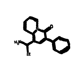 CCC(N)c1cc(-c2ccccc2)c(=O)n2ccccc12